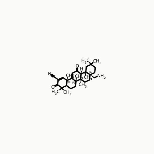 CC1(C)CC[C@]2(CN)CC[C@]3(C)[C@H](C(=O)C=C4[C@@]5(C)C=C(C#N)C(=O)C(C)(C)C5CC[C@]43C)[C@]2(C)C1